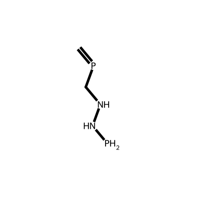 C=PCNNP